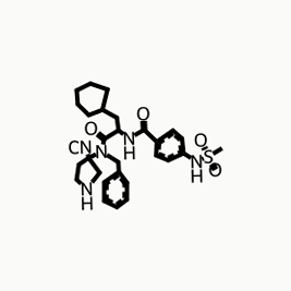 CS(=O)(=O)Nc1ccc(C(=O)NC(CC2CCCCC2)C(=O)N(Cc2ccccc2)C2(C#N)CCNC2)cc1